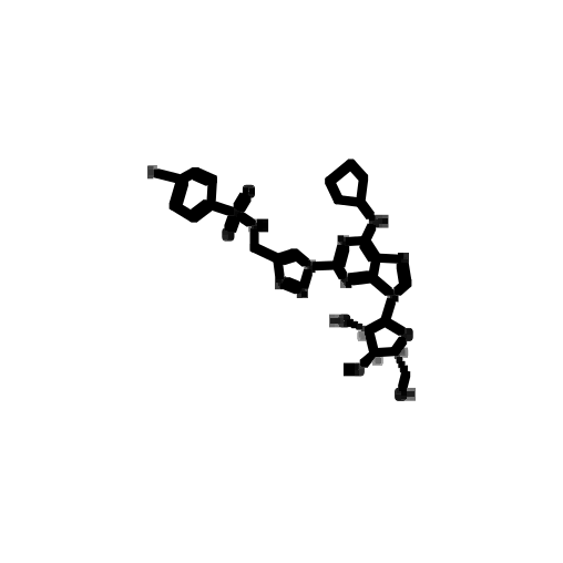 O=S(=O)(NCc1cn(-c2nc(NC3CCCC3)c3ncn(C4O[C@H](CO)[C@@H](O)[C@@H]4O)c3n2)nn1)c1ccc(F)cc1